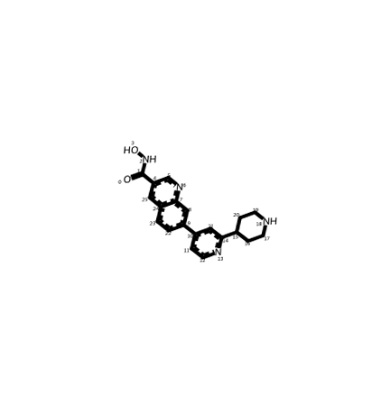 O=C(NO)c1cnc2cc(-c3ccnc(C4CCNCC4)c3)ccc2c1